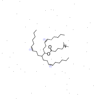 CCCCC/C=C\CCC(CC/C=C\CCCCC)C(CC/C=C\CCCCC)OC(=O)CCCN(C)C